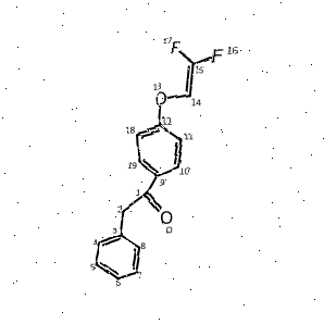 O=C(Cc1ccccc1)c1ccc(OC=C(F)F)cc1